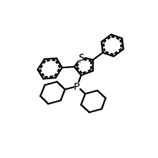 c1ccc(-c2cc(P(C3CCCCC3)C3CCCCC3)c(-c3ccccc3)s2)cc1